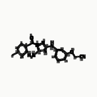 Cc1ccc(C(=O)n2nc(Nc3cccc(OCC#N)c3)nc2N)cc1